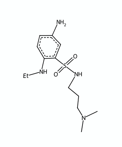 CCNc1ccc(N)cc1S(=O)(=O)NCCCN(C)C